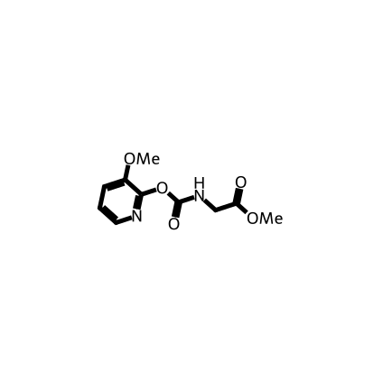 COC(=O)CNC(=O)Oc1ncccc1OC